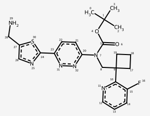 CC(C)(C)OC(=O)N(CC1(c2ncccc2F)CCC1)c1ccc(-c2ncc(CN)s2)nn1